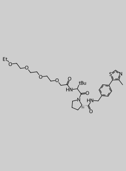 CCOCCOCCOCCOCC(=O)NC(C(=O)N1CCC[C@H]1C(=O)NCc1ccc(-c2scnc2C)cc1)C(C)(C)C